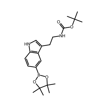 CC(C)(C)OC(=O)NCCc1c[nH]c2ccc(B3OC(C)(C)C(C)(C)O3)cc12